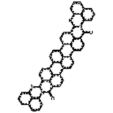 O=c1c2ccc3c4ccc5c6ccc7c(=O)n8c9cccc%10cccc(nc8c8ccc(c%11ccc(c%12ccc(c2c3%12)c2nc3cccc%12cccc(c%123)n12)c4c5%11)c6c78)c%109